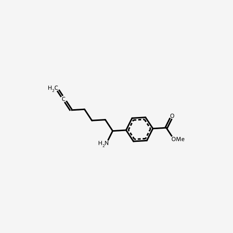 C=C=CCCCC(N)c1ccc(C(=O)OC)cc1